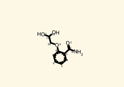 NC(=O)c1ccccc1OCC(O)O